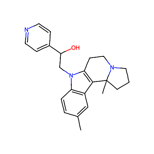 Cc1ccc2c(c1)c1c(n2CC(O)c2ccncc2)CCN2CCCC12C